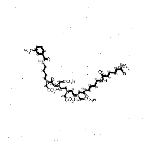 Cc1cccc(C(=O)NCCCCN(CC(=O)O)C(=O)CN(CCN(CCN(CC(=O)O)CC(=O)NCCCCNC(=O)CCCCC(N)=O)CC(=O)O)CC(=O)O)c1